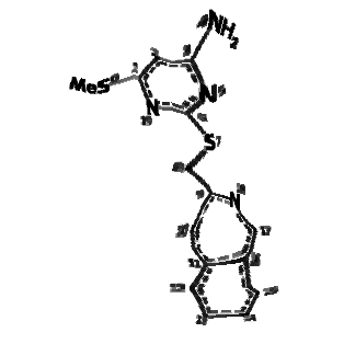 CSc1cc(N)nc(SCc2cc3ccccc3cn2)n1